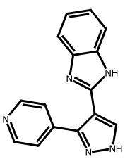 c1ccc2[nH]c(-c3c[nH]nc3-c3ccncc3)nc2c1